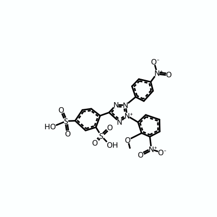 COc1c([N+](=O)[O-])cccc1-[n+]1nc(-c2ccc(S(=O)(=O)O)cc2S(=O)(=O)O)nn1-c1ccc([N+](=O)[O-])cc1